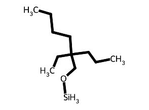 CCCCC(CC)(CCC)CO[SiH3]